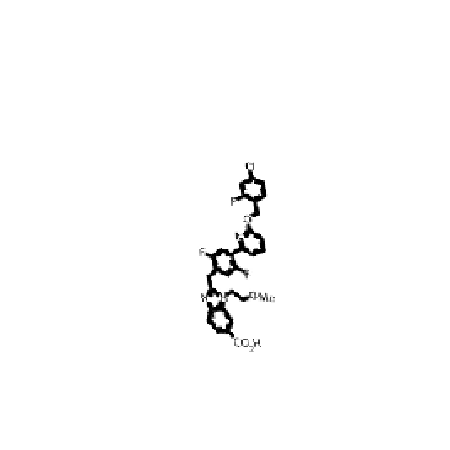 COCCn1c(Cc2cc(F)c(-c3cccc(OCc4ccc(Cl)cc4F)n3)cc2F)nc2ccc(C(=O)O)cc21